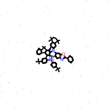 CC(C)(C)c1ccc(Nc2ccc(C(C)(C)C)cc2-c2c3c(c4c5cc6c(cc5n5c4c2Bc2cc4nc(-c7ccccc7)oc4cc2-5)C(C)(C)CCC6(C)C)C(C)(C)c2ccccc2-3)cc1